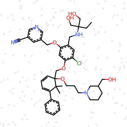 CCC(CO)(CO)NCc1cc(Cl)c(OCC2(OCCCN3CCCC(CO)C3)C=CC=C(c3ccccc3)C2(C)C)cc1OCc1cncc(C#N)c1